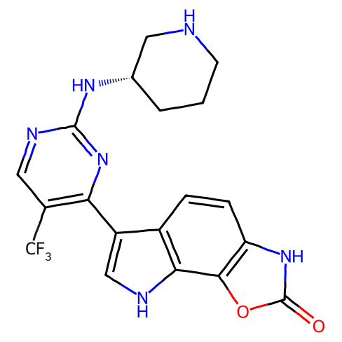 O=c1[nH]c2ccc3c(-c4nc(N[C@H]5CCCNC5)ncc4C(F)(F)F)c[nH]c3c2o1